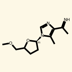 COCC1CC[C@H](n2cnc(C(C)=N)c2C)O1